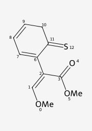 COC=C(C(=O)OC)C1=CC=CCC1=S